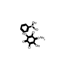 N.O=C1C(O)=C(Cl)C(=O)C(O)=C1Cl.O=NN(O)c1ccccc1